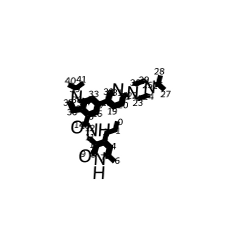 CCCc1cc(C)[nH]c(=O)c1CNC(=O)c1cc(-c2ccc(N3CCN(C(C)C)CC3)nc2)cc2c1ccn2C(C)C